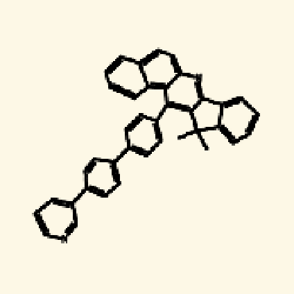 CC1(C)c2ccccc2-c2nc3ccc4ccccc4c3c(-c3ccc(-c4ccc(-c5cccnc5)cc4)cc3)c21